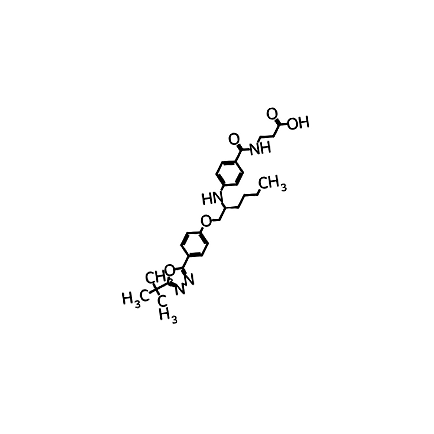 CCCC[C@@H](COc1ccc(-c2nnc(C(C)(C)C)o2)cc1)Nc1ccc(C(=O)NCCC(=O)O)cc1